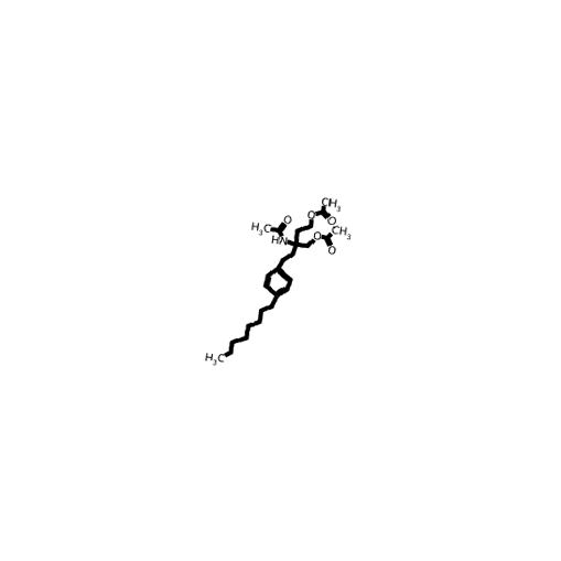 CCCCCCCCc1ccc(CCC(CCOC(C)=O)(COC(C)=O)NC(C)=O)cc1